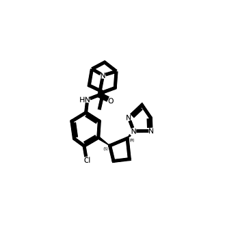 CC1CC2CC(C1)N2C(=O)Nc1ccc(Cl)c([C@@H]2CC[C@H]2n2nccn2)c1